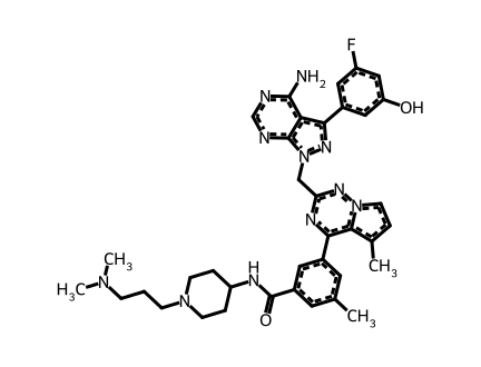 Cc1cc(C(=O)NC2CCN(CCCN(C)C)CC2)cc(-c2nc(Cn3nc(-c4cc(O)cc(F)c4)c4c(N)ncnc43)nn3ccc(C)c23)c1